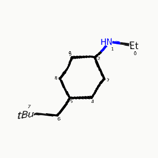 CCNC1CCC(CC(C)(C)C)CC1